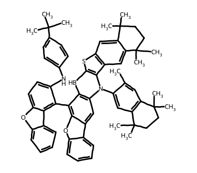 Cc1cc2c(cc1N1c3cc4c(oc5ccccc54)c(-c4c(Nc5ccc(C(C)(C)C)cc5)ccc5oc6ccccc6c45)c3Bc3sc4cc5c(cc4c31)C(C)(C)CCC5(C)C)C(C)(C)CCC2(C)C